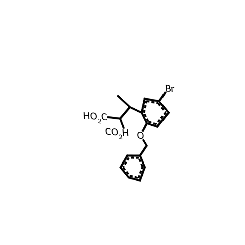 CC(c1cc(Br)ccc1OCc1ccccc1)C(C(=O)O)C(=O)O